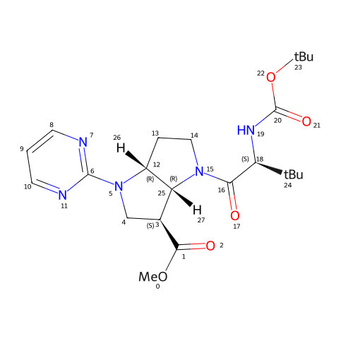 COC(=O)[C@H]1CN(c2ncccn2)[C@@H]2CCN(C(=O)[C@@H](NC(=O)OC(C)(C)C)C(C)(C)C)[C@H]12